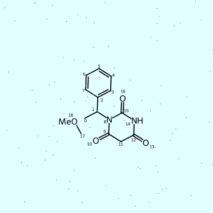 CC(c1ccccc1)N1C(=O)CC(=O)NC1=O.COC